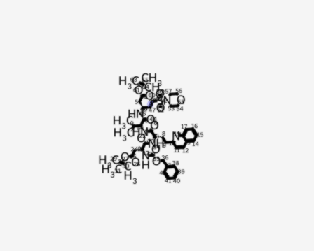 CC(C)[C@H](NC(=O)[C@H](CCc1ccc2ccccc2n1)NC(=O)[C@H](CC(=O)OC(C)(C)C)NC(=O)OCc1ccccc1)C(=O)N[C@H](/C=C/S(=O)(=O)N1CCOCC1)CC(=O)OC(C)(C)C